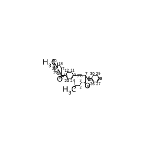 CCCCC(=O)N(CC#Cc1ccc(C(=O)N2CCN(C)CC2)cc1)c1ccccc1